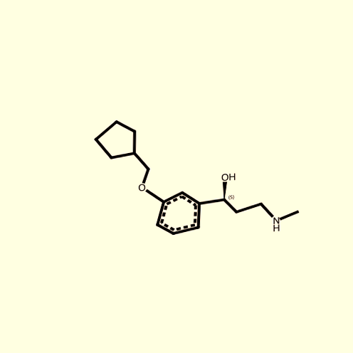 CNCC[C@H](O)c1cccc(OCC2CCCC2)c1